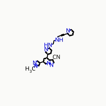 Cn1cc(-c2cc(-c3ccc(NCCNCC#Cc4ccccn4)nc3)c3c(C#N)cnn3c2)cn1